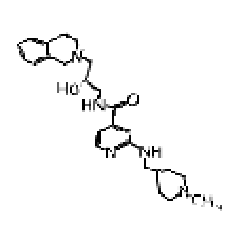 CN1CCC(CNc2cc(C(=O)NC[C@H](O)CN3CCc4ccccc4C3)ccn2)CC1